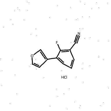 Cl.N#Cc1cccc(-c2ccoc2)c1F